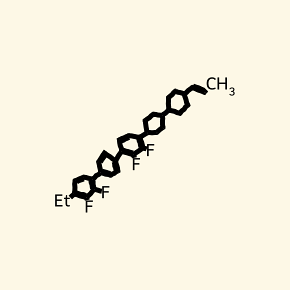 C/C=C/C1CCC(C2CCC(c3ccc(-c4ccc(-c5ccc(CC)c(F)c5F)cc4)c(F)c3F)CC2)CC1